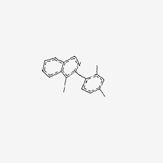 Cc1ccc(-c2ncc3ccccc3c2C)c(C)c1